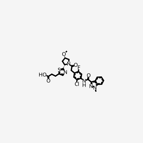 CO[C@H]1C[C@@H](c2ncc(CCC(=O)O)s2)N(C(=O)Cc2cc(Cl)c(NC(=O)c3nn(C)c4ccccc34)cc2F)C1